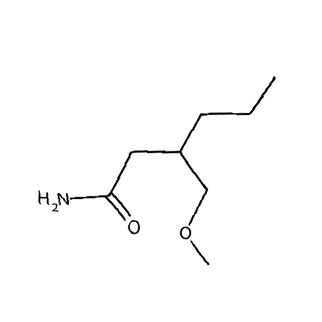 CCCC(COC)CC(N)=O